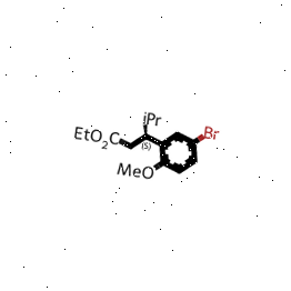 CCOC(=O)C[C@H](c1cc(Br)ccc1OC)C(C)C